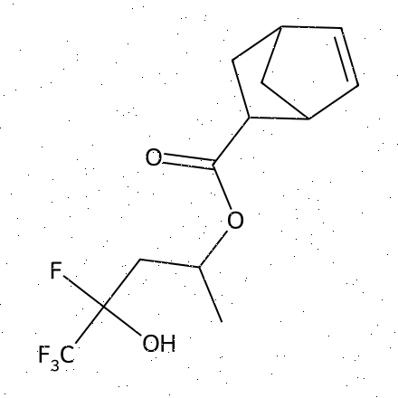 CC(CC(O)(F)C(F)(F)F)OC(=O)C1CC2C=CC1C2